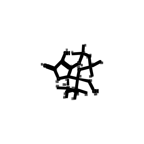 C[Si](C)(C)OC1=C(O)C(=O)O[C@@]1([C@](CO)(O[Si](C)(C)C)[Si](C)(C)C)[Si](C)(C)C